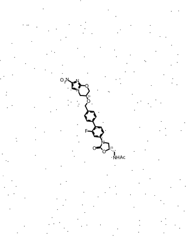 CC(=O)NC[C@H]1CN(c2ccc(-c3ccc(CO[C@@H]4COc5nc([N+](=O)[O-])cn5C4)cc3)c(F)c2)C(=O)O1